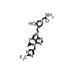 NC(=O)CN1CC[C@@H](CCn2cc(F)c3c(N(Cc4cnc(C(F)(F)F)nc4)C4CC4)ncnc32)[C@H](O)C1